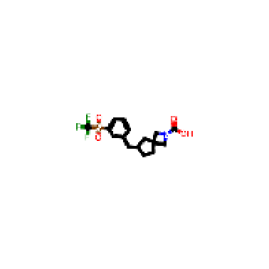 O=C(O)N1CC2(CCC(Cc3cccc(S(=O)(=O)C(F)(F)F)c3)C2)C1